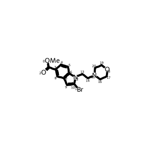 COC(=O)c1ccc2c(c1)cc(Br)n2CCN1CCOCC1